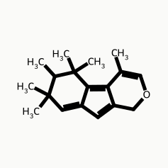 CC1=COCC2=CC3=CC(C)(C)C(C)C(C)(C)C3=C12